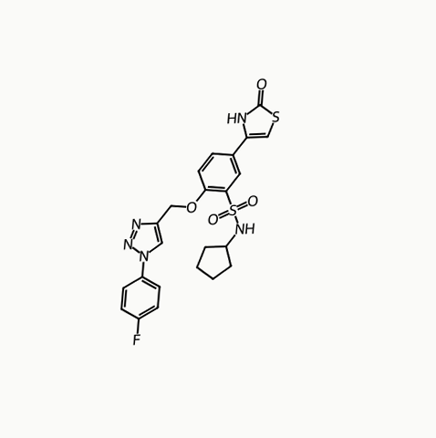 O=c1[nH]c(-c2ccc(OCc3cn(-c4ccc(F)cc4)nn3)c(S(=O)(=O)NC3CCCC3)c2)cs1